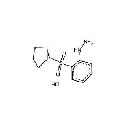 Cl.NNc1ccccc1S(=O)(=O)N1CCCC1